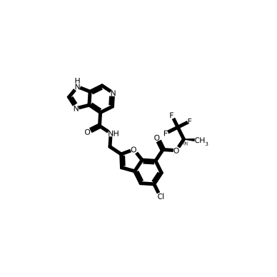 C[C@@H](OC(=O)c1cc(Cl)cc2cc(CNC(=O)c3cncc4[nH]cnc34)oc12)C(F)(F)F